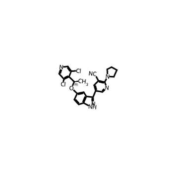 C[C@@H](Oc1ccc2[nH]nc(-c3cnc(N4CCCC4)c(C#N)c3)c2c1)c1c(Cl)cncc1Cl